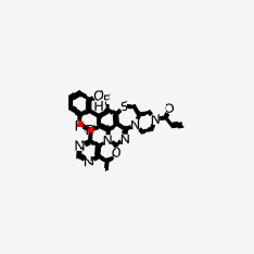 C=CC(=O)N1CCN2c3nc(=O)n(-c4c(C(C)C)ncnc4C(C)C)c4c(F)c(-c5c(O)cccc5F)c(F)c(c34)SCC2C1